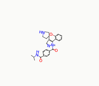 CC(C)NC(=O)c1ccc(C(=O)[N+]2(C)N=CC3=C2c2ccccc2OC32CCNCC2)cc1